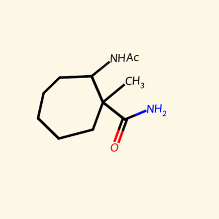 CC(=O)NC1CCCCCC1(C)C(N)=O